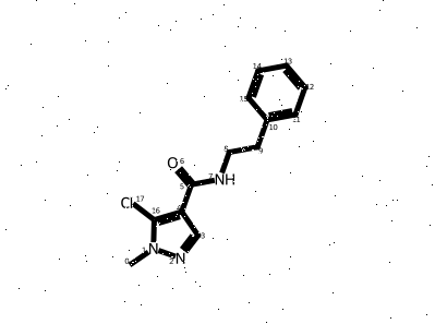 Cn1ncc(C(=O)NCCc2ccccc2)c1Cl